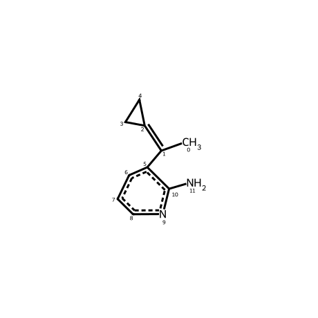 CC(=C1CC1)c1cccnc1N